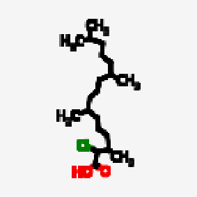 CC(C)CCCC(C)CCCC(C)CCCC(C)C(Cl)C(=O)O